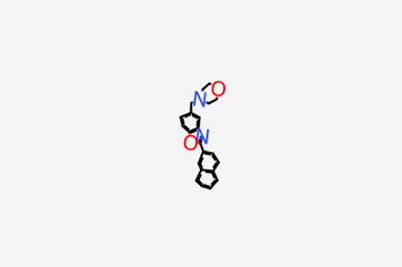 c1ccc2cc(-c3nc4cc(CN5CCOCC5)ccc4o3)ccc2c1